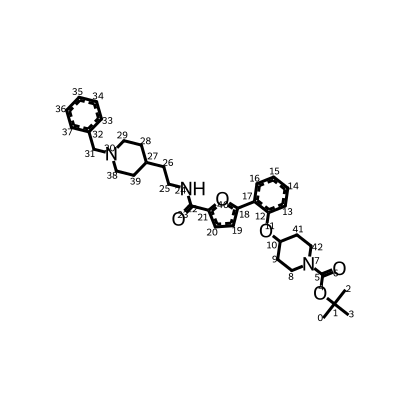 CC(C)(C)OC(=O)N1CCC(Oc2ccccc2-c2ccc(C(=O)NCCC3CCN(Cc4ccccc4)CC3)o2)CC1